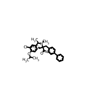 C=CC(Cc1ccc(-c2ccccc2)cc1)(C(N)=O)N(C)C(C)c1ccc(OC(C)C)c(Cl)c1